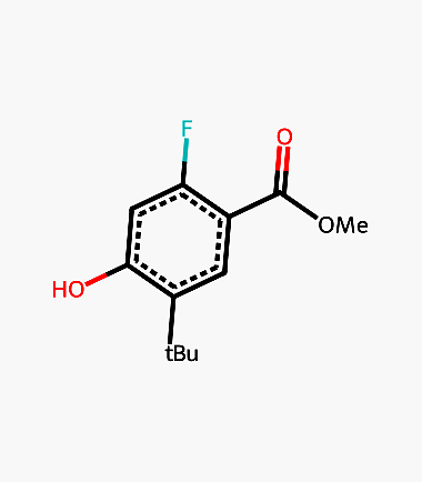 COC(=O)c1cc(C(C)(C)C)c(O)cc1F